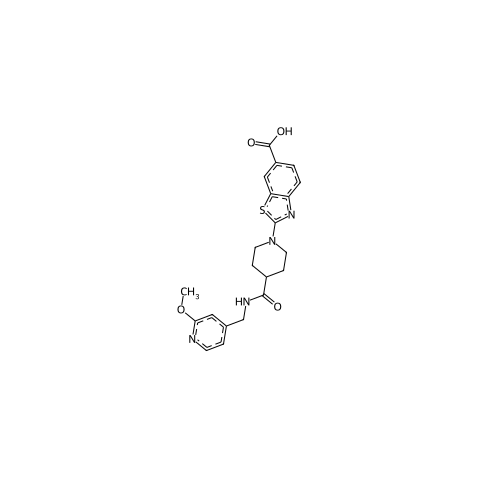 COc1cc(CNC(=O)C2CCN(c3nc4ccc(C(=O)O)cc4s3)CC2)ccn1